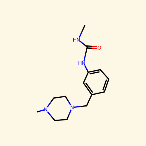 CNC(=O)Nc1cccc(CN2CCN(C)CC2)c1